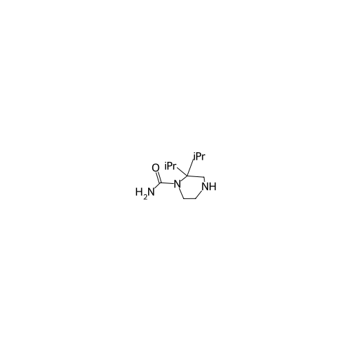 CC(C)C1(C(C)C)CNCCN1C(N)=O